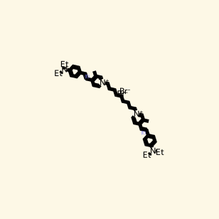 CCN(CC)c1ccc(/C=C/c2cc[n+](CCCCCCCCC[n+]3ccc(/C=C/c4ccc(N(CC)CC)cc4)c(C)c3)cc2C)cc1.[Br-].[Br-]